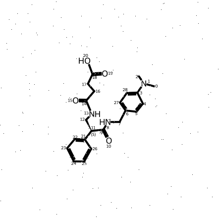 CN(C)c1ccc(CNC(=O)[C@H](CNC(=O)CCC(=O)O)c2ccccc2)cc1